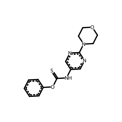 S=C(Nc1cnc(N2CCOCC2)nc1)Oc1ccccc1